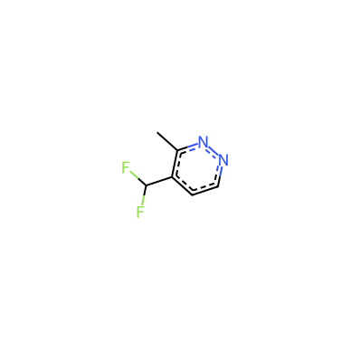 Cc1nnccc1C(F)F